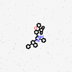 C1=C(C2=CC(c3ccc(-c4ccccc4)c4ccccc34)=NC(c3ccccc3)N2)CCC2=C1C1(c3ccccc3O2)c2ccccc2-c2ccccc21